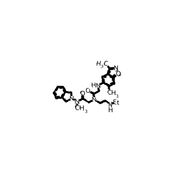 CCNCCN(CC(=O)N(C)N1Cc2ccccc2C1)C(=O)CNc1cc2c(C)noc2cc1C